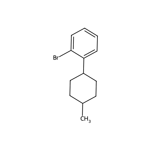 CC1CCC(c2ccccc2Br)CC1